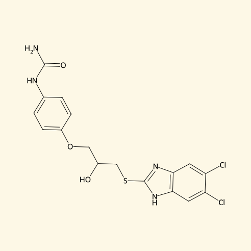 NC(=O)Nc1ccc(OCC(O)CSc2nc3cc(Cl)c(Cl)cc3[nH]2)cc1